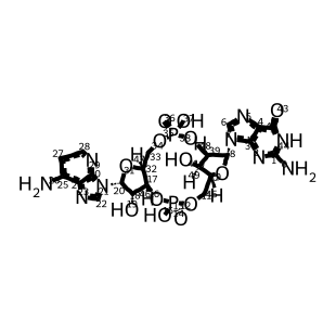 Nc1nc2c(ncn2[C@@H]2O[C@@H]3COP(=O)(O)O[C@H]4[C@H](O)[C@H](n5cnc6c(N)ccnc65)O[C@@H]4COP(=O)(O)O[C@@H]2[C@@H]3O)c(=O)[nH]1